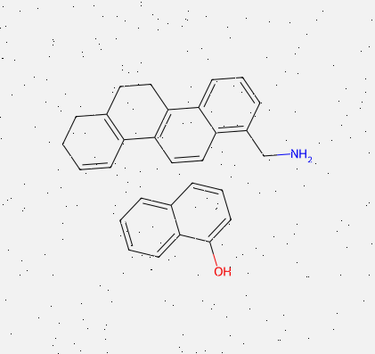 NCc1cccc2c3c(ccc12)C1=C(CCC=C1)CC3.Oc1cccc2ccccc12